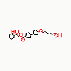 O=C(OCC(O)c1ccccc1)c1ccc(-c2ccc(OCCCCCCO)cc2)cc1